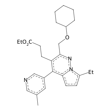 CCOC(=O)CCc1c(COC2CCCCC2)nn2c(CC)ccc2c1-c1cncc(C)c1